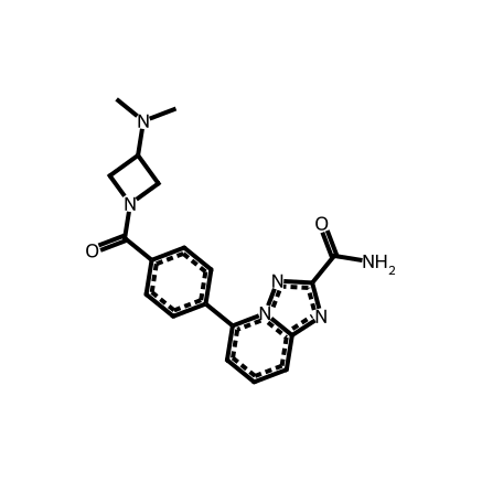 CN(C)C1CN(C(=O)c2ccc(-c3cccc4nc(C(N)=O)nn34)cc2)C1